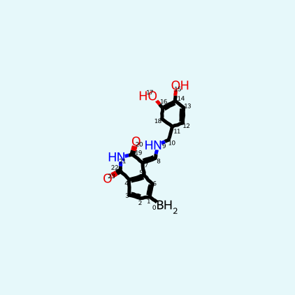 Bc1ccc2c(c1)/C(=C/NCC1C=CC(O)=C(O)C1)C(=O)NC2=O